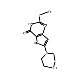 CC(C)Sc1nc2nc(N3CCNCC3)[nH]c2c(=O)[nH]1